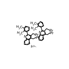 Cc1cccc(-c2nc3ccccc3c(CC(C)C)c2CC(C)C)c1C.Cc1cccc(-c2nc3ccccc3c(CC(C)C)c2CC(C)C)c1C.[Ir+2]